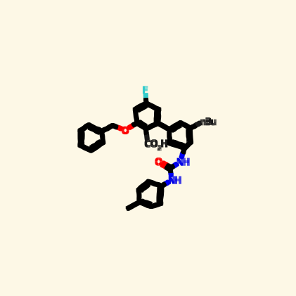 CCCCc1cc(NC(=O)Nc2ccc(C)cc2)cc(-c2cc(F)cc(OCc3ccccc3)c2C(=O)O)c1